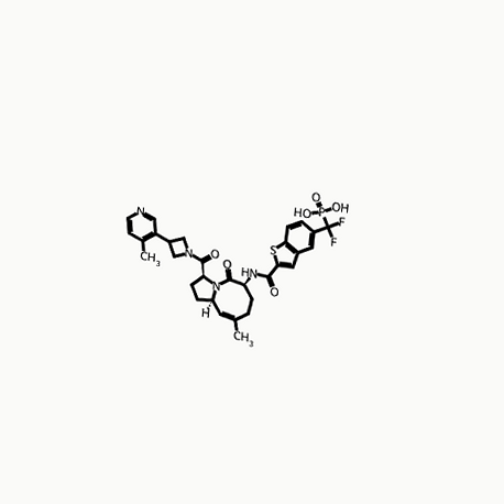 C/C1=C/[C@H]2CC[C@@H](C(=O)N3CC(c4cnccc4C)C3)N2C(=O)[C@@H](NC(=O)c2cc3cc(C(F)(F)P(=O)(O)O)ccc3s2)CC1